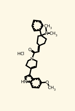 COc1ccc2[nH]cc(C3=CCN(C(=O)C=C4CCC(c5ccccc5)(N(C)C)CC4)CC3)c2c1.Cl